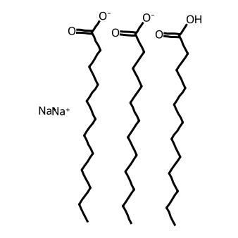 CCCCCCCCCCCC(=O)O.CCCCCCCCCCCC(=O)[O-].CCCCCCCCCCCC(=O)[O-].[Na+].[Na+]